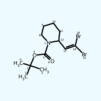 CC(C)(C)OC(=O)N1CCCCC1C=C(Br)Br